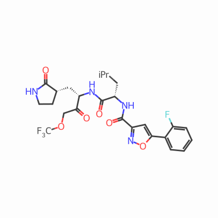 CC(C)C[C@H](NC(=O)c1cc(-c2ccccc2F)on1)C(=O)N[C@@H](C[C@@H]1CCNC1=O)C(=O)COC(F)(F)F